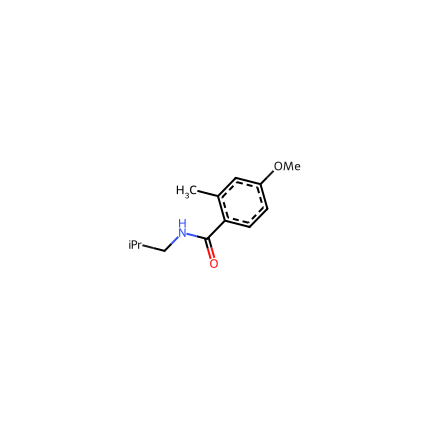 COc1ccc(C(=O)NCC(C)C)c(C)c1